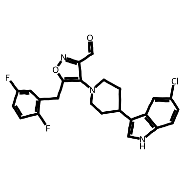 O=Cc1noc(Cc2cc(F)ccc2F)c1N1CCC(c2c[nH]c3ccc(Cl)cc23)CC1